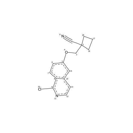 N#CC1(COc2ccc3c(Cl)nccc3c2)CCC1